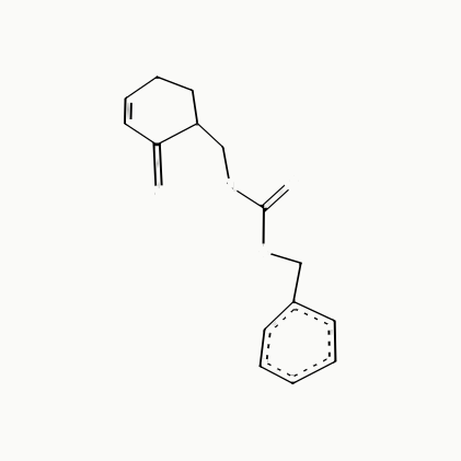 O=C(NCC1CCC=CC1=O)OCc1ccccc1